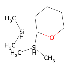 C[SiH](C)C1([SiH](C)C)CCCCO1